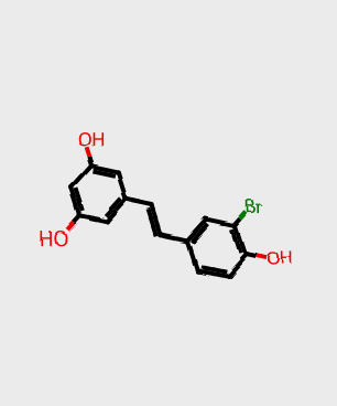 Oc1cc(O)cc(C=Cc2ccc(O)c(Br)c2)c1